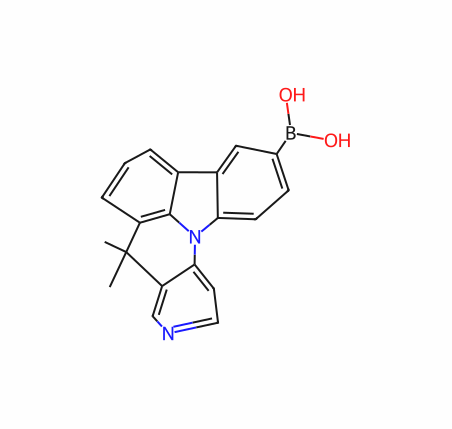 CC1(C)c2cnccc2-n2c3ccc(B(O)O)cc3c3cccc1c32